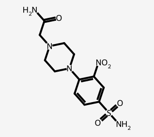 NC(=O)CN1CCN(c2ccc(S(N)(=O)=O)cc2[N+](=O)[O-])CC1